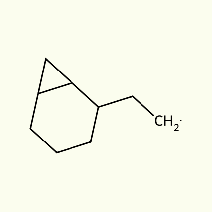 [CH2]CC1CCCC2CC12